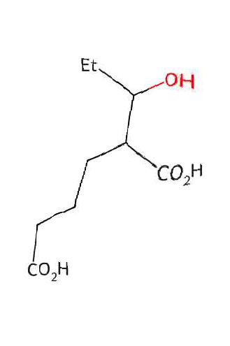 CCC(O)C(CCCC(=O)O)C(=O)O